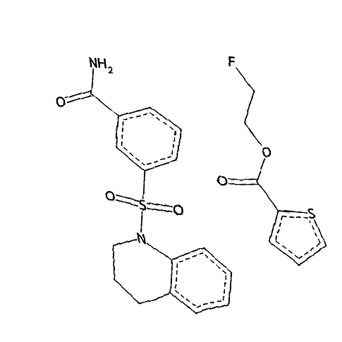 NC(=O)c1cccc(S(=O)(=O)N2CCCc3ccccc32)c1.O=C(OCCF)c1cccs1